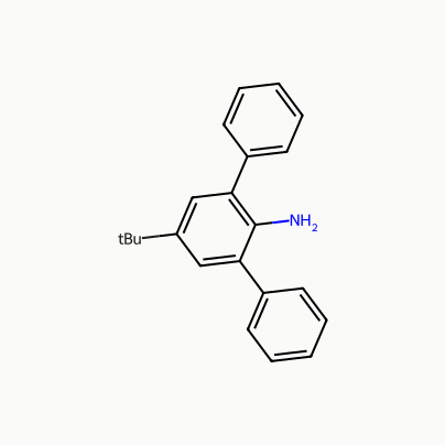 CC(C)(C)c1cc(-c2ccccc2)c(N)c(-c2ccccc2)c1